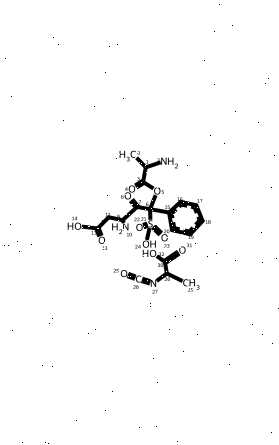 CC(N)C(=O)OC(C(=O)C(N)CC(=O)O)(c1ccccc1)S(=O)(=O)O.CC(N=C=O)C(=O)O